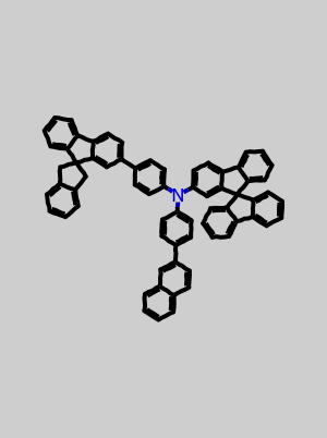 c1ccc2c(c1)CC1(C2)c2ccccc2-c2ccc(-c3ccc(N(c4ccc(-c5ccc6ccccc6c5)cc4)c4ccc5c(c4)C4(c6ccccc6-c6ccccc64)c4ccccc4-5)cc3)cc21